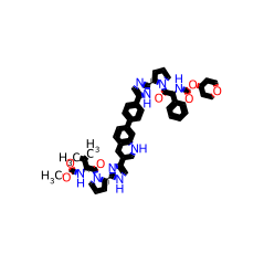 COC(=O)N[C@H](C(=O)N1CCC[C@H]1c1nc(C2CNc3cc(-c4ccc(-c5cnc([C@@H]6CCCN6C(=O)[C@H](NC(=O)OC6CCOCC6)c6ccccc6)[nH]5)cc4)ccc3C2)c[nH]1)C(C)C